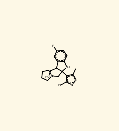 CCc1noc(C)c1C1(CN2CCCC2)Nc2ccc(F)cc2C1CO